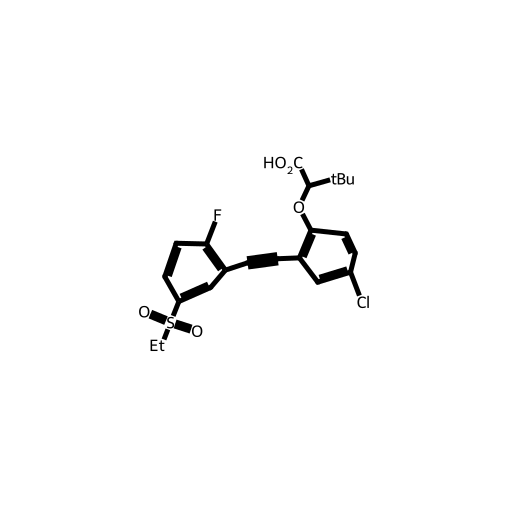 CCS(=O)(=O)c1ccc(F)c(C#Cc2cc(Cl)ccc2OC(C(=O)O)C(C)(C)C)c1